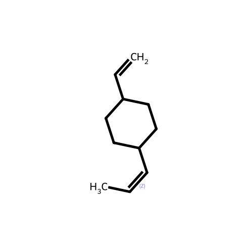 C=CC1CCC(/C=C\C)CC1